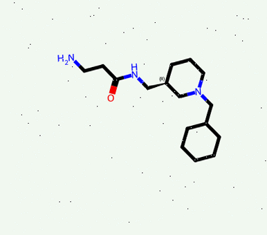 NCCC(=O)NC[C@H]1CCCN(CC2CCCCC2)C1